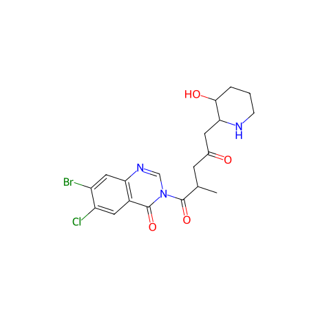 CC(CC(=O)CC1NCCCC1O)C(=O)n1cnc2cc(Br)c(Cl)cc2c1=O